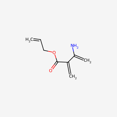 C=CCOC(=O)C(=C)C(=C)N